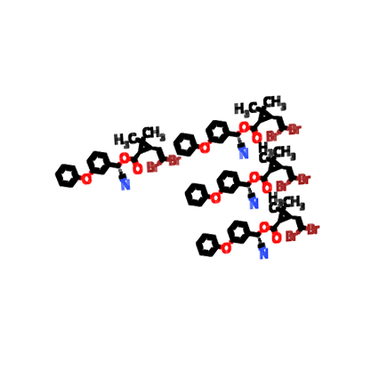 CC1(C)[C@H](C(=O)O[C@H](C#N)c2cccc(Oc3ccccc3)c2)[C@@H]1C=C(Br)Br.CC1(C)[C@H](C(=O)O[C@H](C#N)c2cccc(Oc3ccccc3)c2)[C@@H]1C=C(Br)Br.CC1(C)[C@H](C(=O)O[C@H](C#N)c2cccc(Oc3ccccc3)c2)[C@@H]1C=C(Br)Br.CC1(C)[C@H](C(=O)O[C@H](C#N)c2cccc(Oc3ccccc3)c2)[C@@H]1C=C(Br)Br